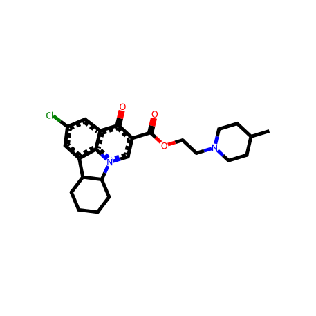 CC1CCN(CCOC(=O)c2cn3c4c(cc(Cl)cc4c2=O)C2CCCCC23)CC1